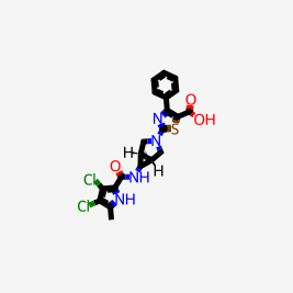 Cc1[nH]c(C(=O)NC2[C@H]3CN(c4nc(-c5ccccc5)c(C(=O)O)s4)C[C@@H]23)c(Cl)c1Cl